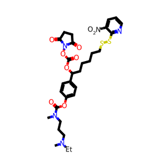 CCN(C)CCCN(C)C(=O)Oc1ccc(C(CCCCCSSc2ncccc2[N+](=O)[O-])OC(=O)ON2C(=O)CCC2=O)cc1